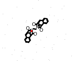 O=C1C2=Cc3ccccc3C(C(=O)N1CCN1C(=O)C3=Cc4ccccc4C(C1=O)C3=S)C2=S